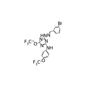 FC(F)(F)COc1nc(N/N=C/c2cccc(Br)c2)nc(Nc2ccc(OC(F)(F)F)cc2)n1